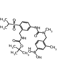 Cc1cc(B(O)O)ccc1CN(C)C(=O)Nc1ccc(S(=O)(=O)C(C)C)c(CNC(=O)OC(C)(C)C)c1